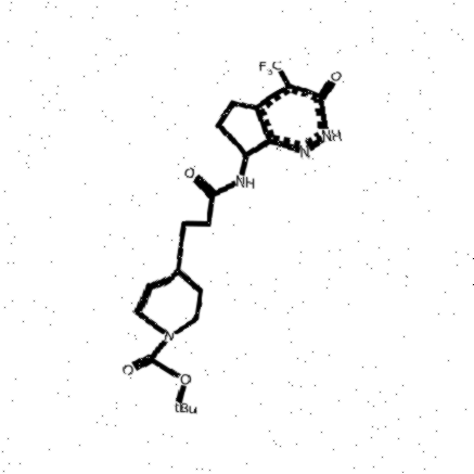 CC(C)(C)OC(=O)N1CCC(CCC(=O)NC2CCc3c2n[nH]c(=O)c3C(F)(F)F)CC1